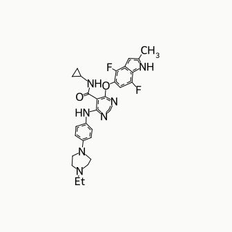 CCN1CCN(c2ccc(Nc3ncnc(Oc4cc(F)c5[nH]c(C)cc5c4F)c3C(=O)NC3CC3)cc2)CC1